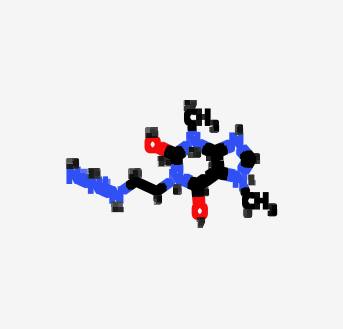 Cn1cnc2c1c(=O)n(CCN=[N+]=[N-])c(=O)n2C